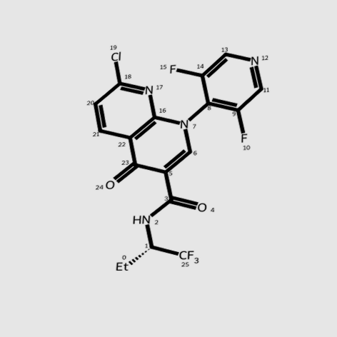 CC[C@H](NC(=O)c1cn(-c2c(F)cncc2F)c2nc(Cl)ccc2c1=O)C(F)(F)F